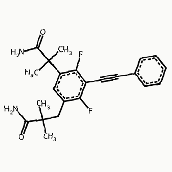 CC(C)(Cc1cc(C(C)(C)C(N)=O)c(F)c(C#Cc2ccccc2)c1F)C(N)=O